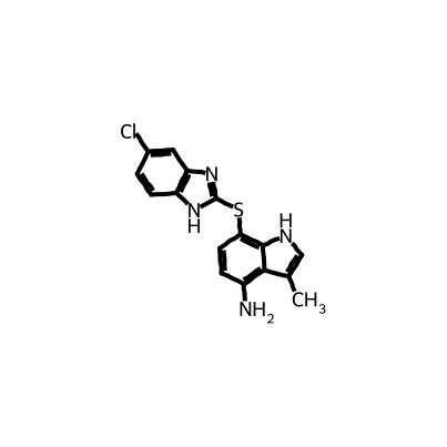 Cc1c[nH]c2c(Sc3nc4cc(Cl)ccc4[nH]3)ccc(N)c12